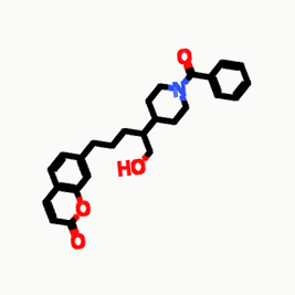 O=C(c1ccccc1)N1CCC(C(CO)CCCc2ccc3ccc(=O)oc3c2)CC1